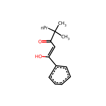 CCCC(C)(C)C(=O)/C=C(\O)c1ccccc1